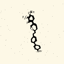 CCCC1CCC(C2CCC(CCC3CCC(c4ccc(OCC)c(C(F)(F)F)c4F)CO3)CC2)CC1